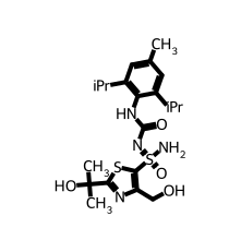 Cc1cc(C(C)C)c(NC(=O)N=S(N)(=O)c2sc(C(C)(C)O)nc2CO)c(C(C)C)c1